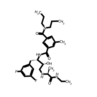 CCCN(CCC)C(=O)c1cc(C)cc(C(=O)N[C@@H](Cc2cc(F)cc(F)c2)[C@H](O)CN[C@@H](C)C(=O)NCC)c1